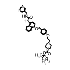 CC(C)(C)OC(=O)N1CCN(CCOc2ccc(COc3ccc(NC(=O)NCc4cncnc4)c4ccccc34)cc2)CC1